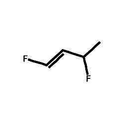 CC(F)C=CF